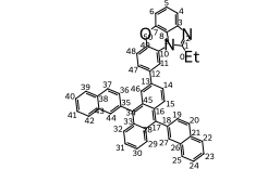 CCc1nc2cccc3c2n1-c1cc(-c2ccc4c(-c5ccc6ccccc6c5)c5ccccc5c(-c5ccc6ccccc6c5)c4c2)ccc1O3